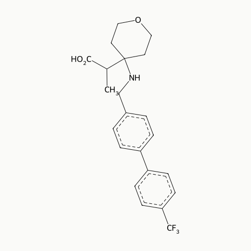 CC(C(=O)O)C1(NCc2ccc(-c3ccc(C(F)(F)F)cc3)cc2)CCOCC1